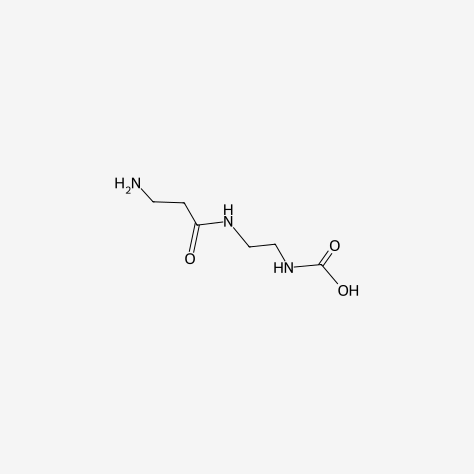 NCCC(=O)NCCNC(=O)O